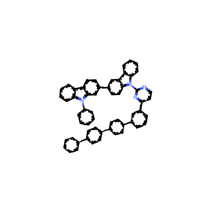 c1ccc(-c2ccc(-c3ccc(-c4cccc(-c5ccnc(-n6c7ccccc7c7cc(-c8ccc9c%10ccccc%10n(-c%10ccccc%10)c9c8)ccc76)n5)c4)cc3)cc2)cc1